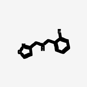 Fc1ccccc1CNCc1ccon1